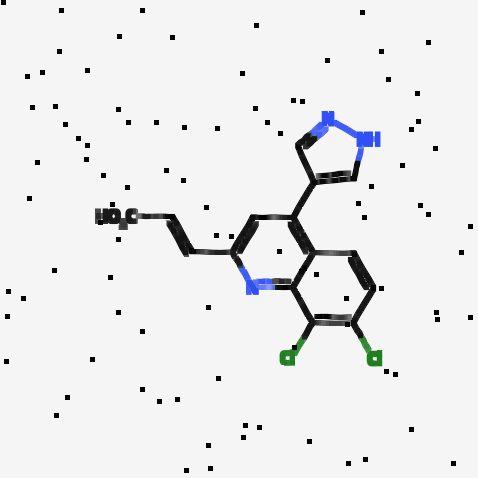 O=C(O)C=Cc1cc(-c2cn[nH]c2)c2ccc(Cl)c(Cl)c2n1